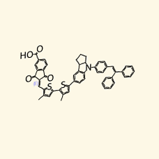 Cc1cc(-c2sc(-c3ccc4c(c3)C3CCCC3N4c3ccc(C=C(c4ccccc4)c4ccccc4)cc3)cc2C)sc1/C=C1\C(=O)c2ccc(C(=O)O)cc2C1=O